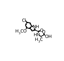 COc1cc(Cl)cc2[nH]c(C(=O)N[C@@H](C)C(=O)O)cc12